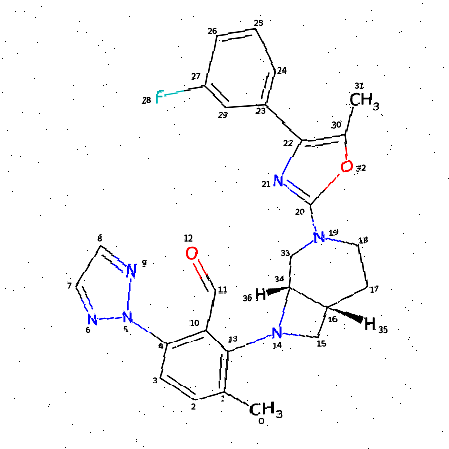 Cc1ccc(-n2nccn2)c(C=O)c1N1C[C@H]2CCN(c3nc(-c4cccc(F)c4)c(C)o3)C[C@H]21